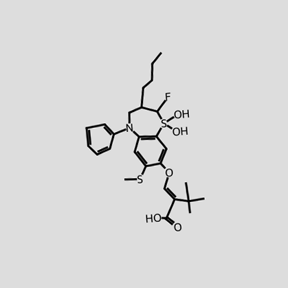 CCCCC1CN(c2ccccc2)c2cc(SC)c(O/C=C(/C(=O)O)C(C)(C)C)cc2S(O)(O)C1F